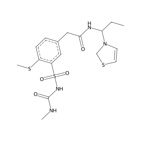 CCC(NC(=O)Cc1ccc(SC)c(S(=O)(=O)NC(=O)NC)c1)N1C=CSC1